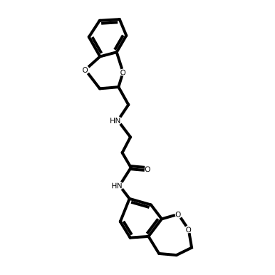 O=C(CCNCC1COc2ccccc2O1)Nc1ccc2c(c1)OOCCC2